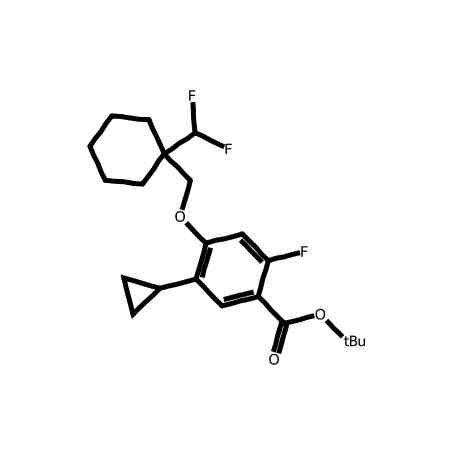 CC(C)(C)OC(=O)c1cc(C2CC2)c(OCC2(C(F)F)CCCCC2)cc1F